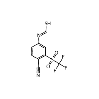 N#Cc1ccc(N=CS)cc1S(=O)(=O)C(F)(F)F